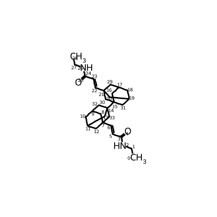 CCNC(=O)C=CC12CC3CC(C1)CC(C14CC5CC(CC(C=CC(=O)NCC)(C5)C1)C4)(C3)C2